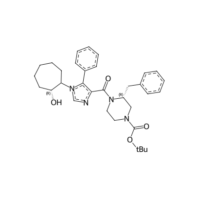 CC(C)(C)OC(=O)N1CCN(C(=O)c2ncn(C3CCCCC[C@H]3O)c2-c2ccccc2)[C@H](Cc2ccccc2)C1